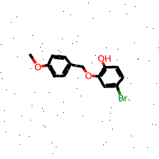 COc1ccc(COc2cc(Br)ccc2O)cc1